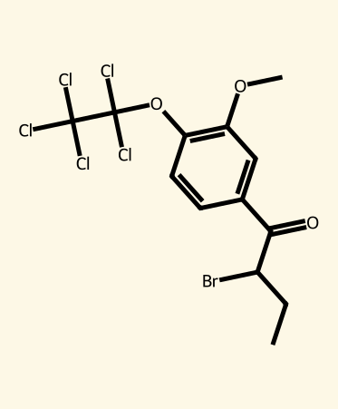 CCC(Br)C(=O)c1ccc(OC(Cl)(Cl)C(Cl)(Cl)Cl)c(OC)c1